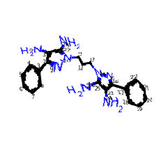 Nc1c(-c2ccccc2)nn(CCCn2nc(-c3ccccc3)c(N)c2N)c1N